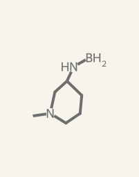 BNC1CCCN(C)C1